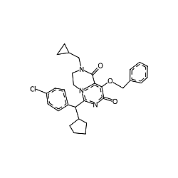 O=C1c2c(OCc3ccccc3)c(=O)nc(C(c3ccc(Cl)cc3)C3CCCC3)n2CCN1CC1CC1